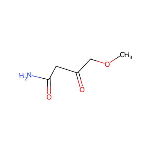 COCC(=O)CC(N)=O